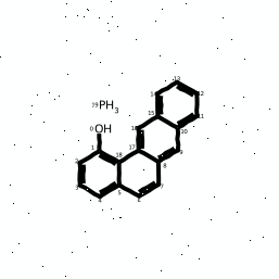 Oc1cccc2ccc3cc4ccccc4cc3c12.P